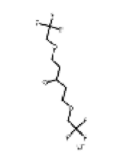 [Li+].[O-]C(CCOCC(F)(F)F)CCOCC(F)(F)F